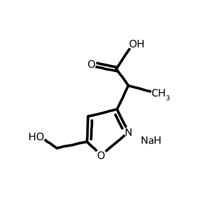 CC(C(=O)O)c1cc(CO)on1.[NaH]